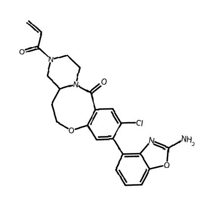 C=CC(=O)N1CCN2C(=O)c3cc(Cl)c(-c4cccc5oc(N)nc45)cc3OCCC2C1